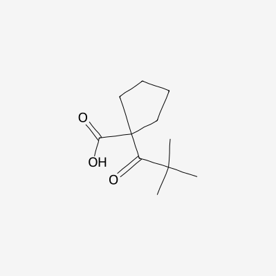 CC(C)(C)C(=O)C1(C(=O)O)CCCC1